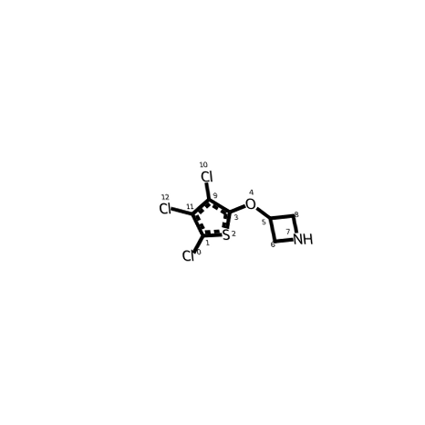 Clc1sc(OC2CNC2)c(Cl)c1Cl